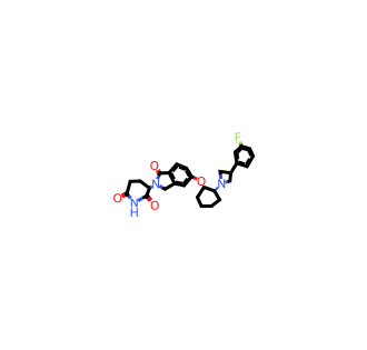 O=C1CCC(N2Cc3cc(O[C@H]4CCCC[C@@H]4N4CC(c5cccc(F)c5)C4)ccc3C2=O)C(=O)N1